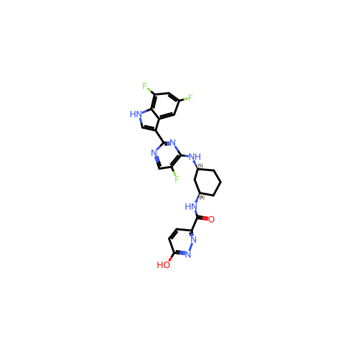 O=C(N[C@@H]1CCC[C@H](Nc2nc(-c3c[nH]c4c(F)cc(F)cc34)ncc2F)C1)c1ccc(O)nn1